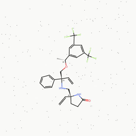 C=C[C@@]1(CN[C@](C=C)(CO[C@H](C)c2cc(C(F)(F)F)cc(C(F)(F)F)c2)c2ccccc2)CCC(=O)N1